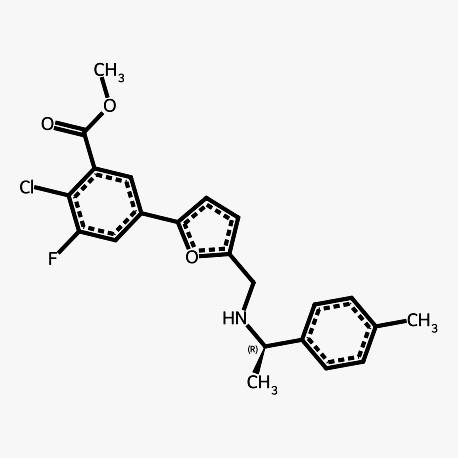 COC(=O)c1cc(-c2ccc(CN[C@H](C)c3ccc(C)cc3)o2)cc(F)c1Cl